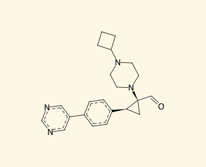 O=C[C@]1(N2CCN(C3CCC3)CC2)C[C@H]1c1ccc(-c2cncnc2)cc1